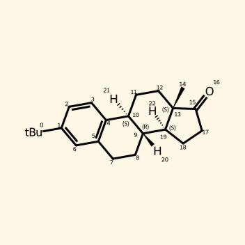 CC(C)(C)c1ccc2c(c1)CC[C@@H]1[C@@H]2CC[C@]2(C)C(=O)CC[C@@H]12